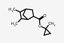 CC1C2CC(C(=O)OC3(C)CC3)C(C2)C1C